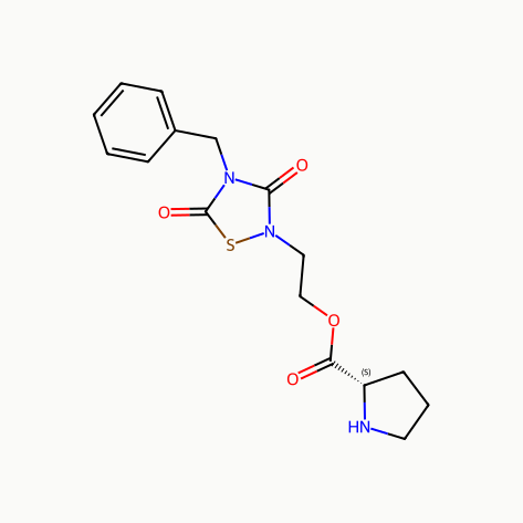 O=C(OCCn1sc(=O)n(Cc2ccccc2)c1=O)[C@@H]1CCCN1